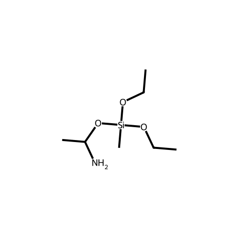 CCO[Si](C)(OCC)OC(C)N